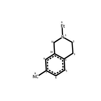 CCN1CCc2ccc(C#N)cc2C1